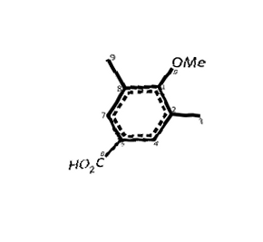 COc1c(C)cc(C(=O)O)cc1C